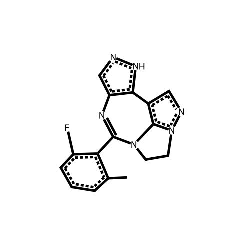 Cc1cccc(F)c1C1=Nc2cn[nH]c2-c2cnn3c2N1CC3